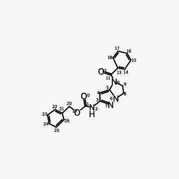 O=C(Nc1cc2n(n1)CCN2C(=O)c1ccccc1)OCc1ccccc1